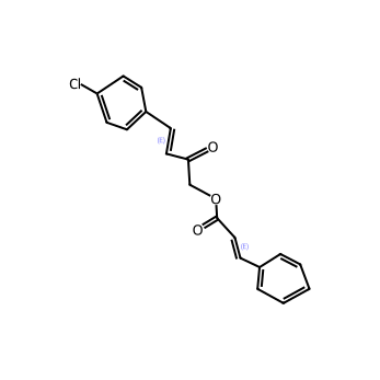 O=C(/C=C/c1ccc(Cl)cc1)COC(=O)/C=C/c1ccccc1